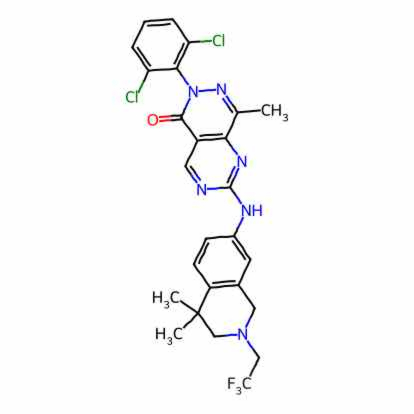 Cc1nn(-c2c(Cl)cccc2Cl)c(=O)c2cnc(Nc3ccc4c(c3)CN(CC(F)(F)F)CC4(C)C)nc12